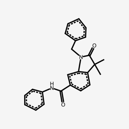 CC1(C)C(=O)N(Cc2ccccc2)c2cc(C(=O)Nc3ccccc3)ccc21